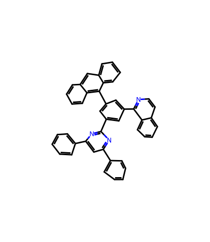 c1ccc(-c2cc(-c3ccccc3)nc(-c3cc(-c4nccc5ccccc45)cc(-c4c5ccccc5cc5ccccc45)c3)n2)cc1